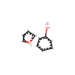 Oc1ccccc1.[C].c1ccoc1